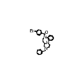 O=C(c1ccc(Br)cc1)N1CCC2CN(Cc3ccccc3)CCN2c2ccccc21